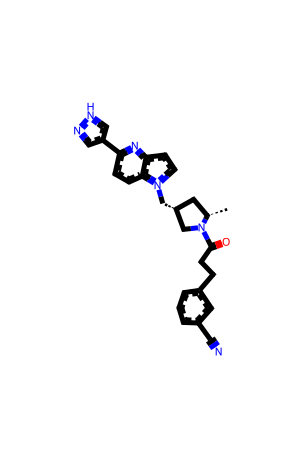 C[C@H]1C[C@@H](Cn2ccc3nc(-c4cn[nH]c4)ccc32)CN1C(=O)CCc1cccc(C#N)c1